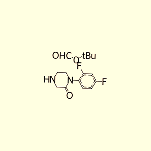 CC(C)(C)OC=O.O=C1CNCCN1c1ccc(F)cc1F